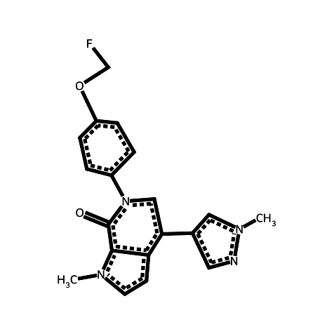 Cn1cc(-c2cn(-c3ccc(OCF)cc3)c(=O)c3c2ccn3C)cn1